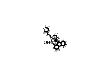 C[N+]1(CCCc2cccnc2)CCCC1C(OC=O)C1(O)c2ccccc2-c2ccccc21